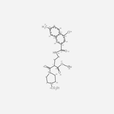 CCOC(=O)N1CCN(C(=O)C(CCNC(=O)c2cc(Cl)c3ccc(C)cc3n2)C(=O)OC(C)(C)C)CC1